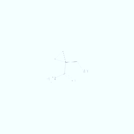 CC(C)CC1(C(N)=O)CC1